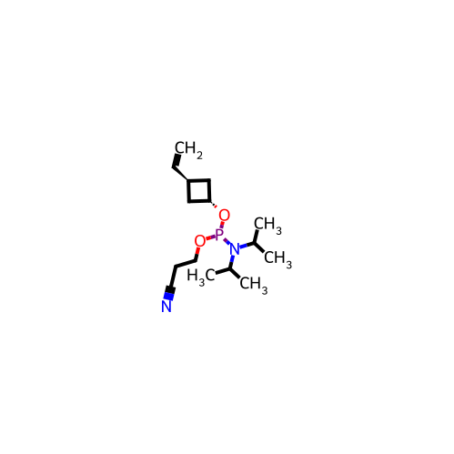 C=C[C@H]1C[C@H](OP(OCCC#N)N(C(C)C)C(C)C)C1